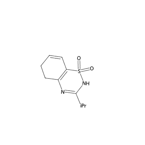 CC(C)C1=NC2=C(C=CCC2)S(=O)(=O)N1